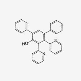 Oc1c(-c2ccccc2)cc(-c2ccccc2)c(-c2ccccn2)c1-c1ccccn1